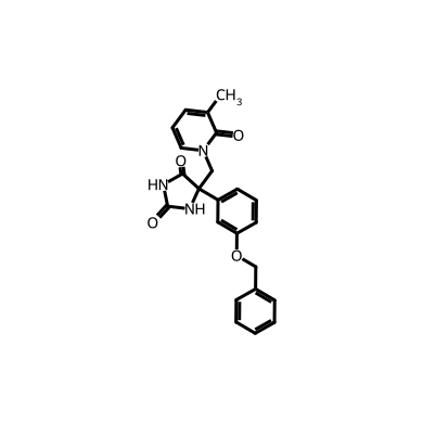 Cc1cccn(CC2(c3cccc(OCc4ccccc4)c3)NC(=O)NC2=O)c1=O